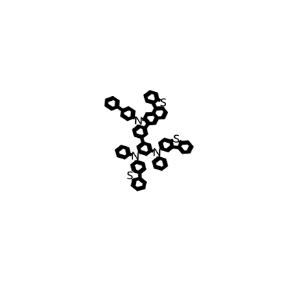 c1ccc(-c2ccc(-n3c4ccc(-c5cc(N(c6ccccc6)c6ccc7c(c6)sc6ccccc67)cc(N(c6ccccc6)c6ccc7sc8ccccc8c7c6)c5)cc4c4cc5ccc6sc7ccccc7c6c5cc43)cc2)cc1